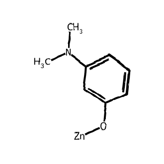 CN(C)c1cccc([O][Zn])c1